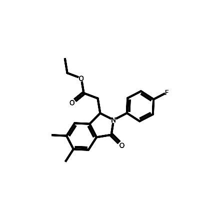 CCOC(=O)CC1c2cc(C)c(C)cc2C(=O)N1c1ccc(F)cc1